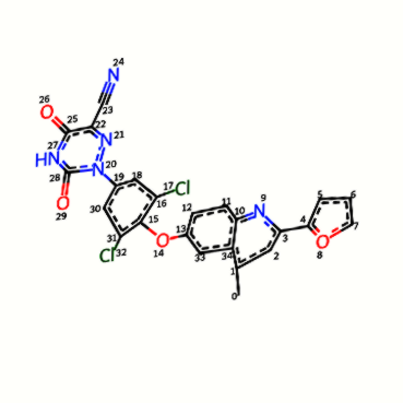 Cc1cc(-c2ccco2)nc2ccc(Oc3c(Cl)cc(-n4nc(C#N)c(=O)[nH]c4=O)cc3Cl)cc12